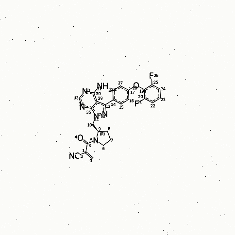 C=C(C#N)C(=O)N1CCC[C@@H]1Cn1nc(-c2ccc(Oc3c(F)cccc3F)cc2)c2c(N)ncnc21